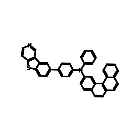 c1ccc(N(c2ccc(-c3ccc4sc5ccncc5c4c3)cc2)c2ccc3ccc4ccc5ccccc5c4c3c2)cc1